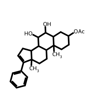 CC(=O)OC1CCC2(C)C(C1)C(O)C(O)C1C3CC=C(c4ccccc4)C3(C)CCC12